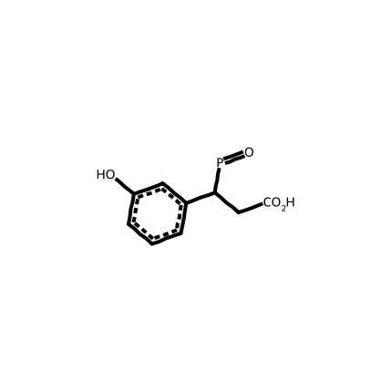 O=PC(CC(=O)O)c1cccc(O)c1